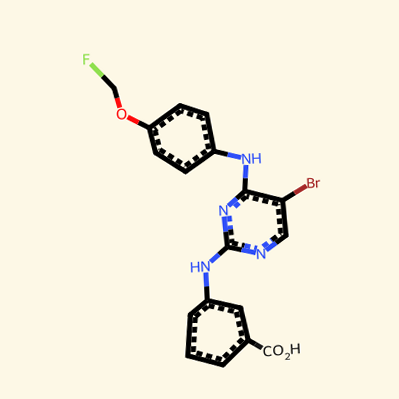 O=C(O)c1cccc(Nc2ncc(Br)c(Nc3ccc(OCF)cc3)n2)c1